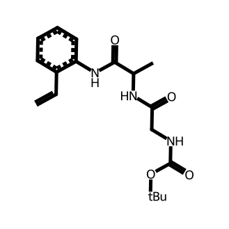 C=Cc1ccccc1NC(=O)C(C)NC(=O)CNC(=O)OC(C)(C)C